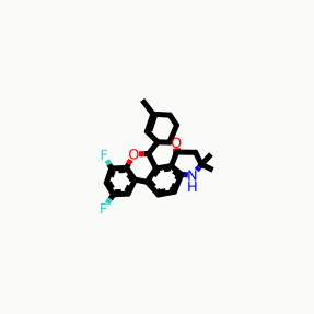 CC1=CC(C2Oc3c(F)cc(F)cc3-c3ccc4c(c32)C(=O)CC(C)(C)N4)CCC1